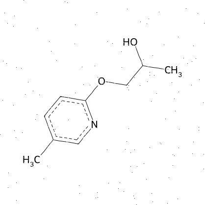 Cc1ccc(OCC(C)O)nc1